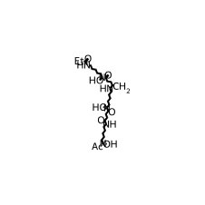 C=C(CCC(=O)N(O)CCCCCNC(=O)CC)NCCCCCN(O)C(=O)CCC(=O)NCCCCCN(O)C(C)=O